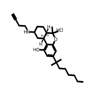 C#CCCNC1CC[C@H]2[C@@H](C1)c1c(O)cc(C(C)(C)CCCCCC)cc1OC2(C)C.Cl